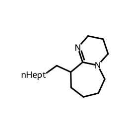 CCCCCCCCC1CCCCN2CCCN=C12